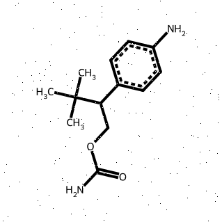 CC(C)(C)C(COC(N)=O)c1ccc(N)cc1